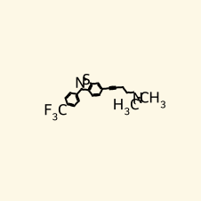 CN(C)CCCC#Cc1ccc2c(-c3ccc(C(F)(F)F)cc3)nsc2c1